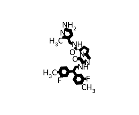 Cc1ccc(C(CNc2ncc3n(c2=O)[C@H](C(=O)NCc2ccc(N)nc2C)CC3)c2ccc(C)c(F)c2)cc1F